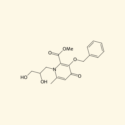 COC(=O)c1c(OCc2ccccc2)c(=O)cc(C)n1CC(O)CO